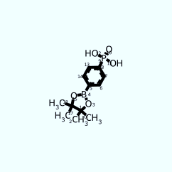 CC1(C)OB(c2ccc(P(=O)(O)O)cc2)OC1(C)C